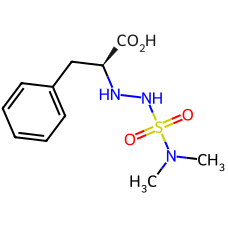 CN(C)S(=O)(=O)NN[C@@H](Cc1ccccc1)C(=O)O